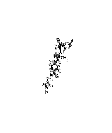 Cn1c(-c2ccc(OC(F)F)c(F)c2F)cnc1C(=O)Nc1ccc(C(=O)NCCC2CNC2)c(Cl)c1